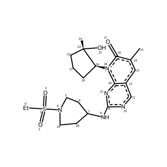 CCS(=O)(=O)N1CCC(Nc2ncc3cc(C)c(=O)n([C@H]4CCC[C@]4(C)O)c3n2)CC1